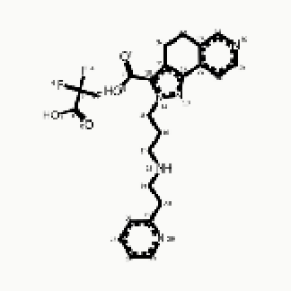 O=C(O)C(F)(F)F.O=C(O)c1c2c(nn1CCCNCCc1ccccn1)-c1ccncc1CC2